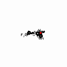 C=CCN1CC[C@]23c4c5ccc(O)c4OC2CC(N(C)C(=O)/C=C/c2cccc(OC(F)(F)F)c2)C[C@@]3(O)[C@H]1C5